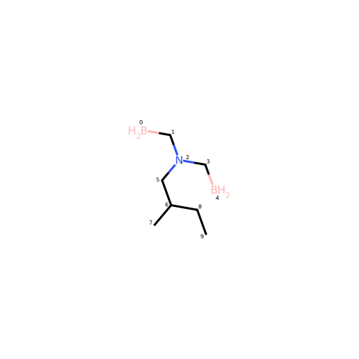 BCN(CB)CC(C)CC